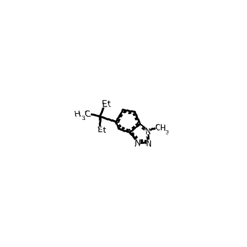 CCC(C)(CC)c1ccc2c(c1)nnn2C